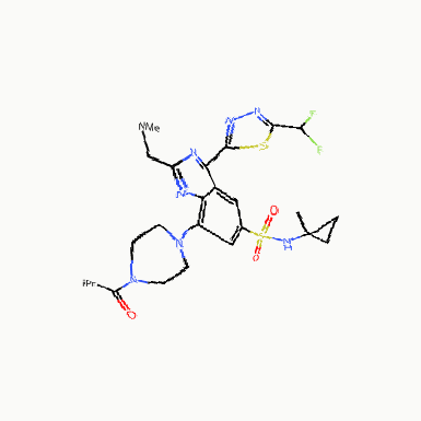 CNCc1nc(-c2nnc(C(F)F)s2)c2cc(S(=O)(=O)NC3(C)CC3)cc(N3CCN(C(=O)C(C)C)CC3)c2n1